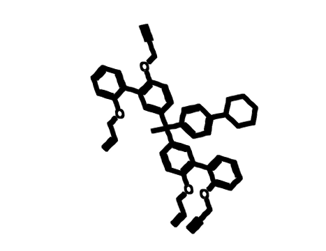 C#CCOc1ccccc1-c1cc(C(C)(c2ccc(C3CCCCC3)cc2)c2ccc(OCC#C)c(-c3ccccc3OCC=C)c2)ccc1OCC=C